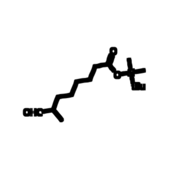 CC(C=O)CCCCCC(=O)O[Si](C)(C)C(C)(C)C